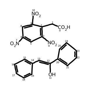 O=C(O)Cc1c([N+](=O)[O-])cc([N+](=O)[O-])cc1[N+](=O)[O-].OC(=Cc1ccccc1)c1ccccc1